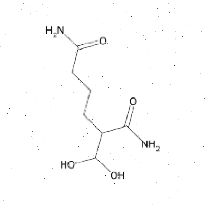 NC(=O)CCCC(C(N)=O)C(O)O